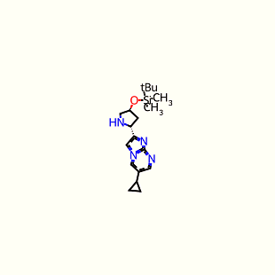 CC(C)(C)[Si](C)(C)O[C@@H]1CN[C@@H](c2cn3cc(C4CC4)cnc3n2)C1